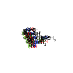 C=CCN1CCN(c2cccc(C(O)C(F)(F)F)c2C#N)CC1.C=CCN1CCN(c2cccc(C(O)C(F)(F)F)c2Cl)CC1.CCCN1CCN(c2cccc(C(O)C(F)(F)F)c2Cl)CC1.CCN1CCN(c2cccc(C(O)C(F)(F)F)c2Cl)CC1.COCCN1CCN(c2cccc(C(O)C(F)(F)F)c2Cl)CC1